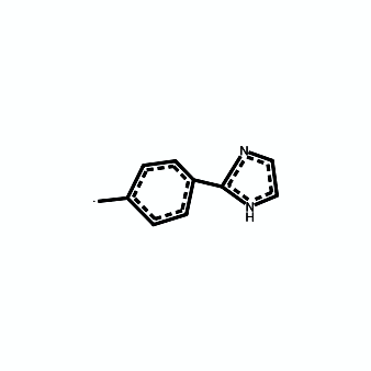 [CH2]c1ccc(-c2ncc[nH]2)cc1